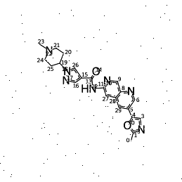 Cc1ncc(-c2cnc3cnc(NC(=O)c4cnn(C5CCN(C)CC5)c4)cc3c2)o1